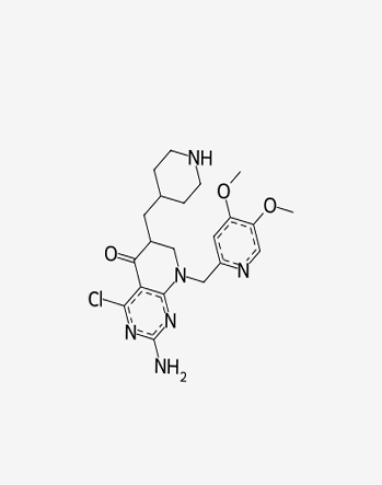 COc1cnc(CN2CC(CC3CCNCC3)C(=O)c3c(Cl)nc(N)nc32)cc1OC